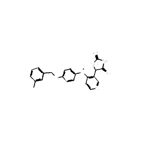 Cc1cccc(COc2ccc([S+]([O-])c3ccncc3C3NC(=O)NC3=O)cc2)c1